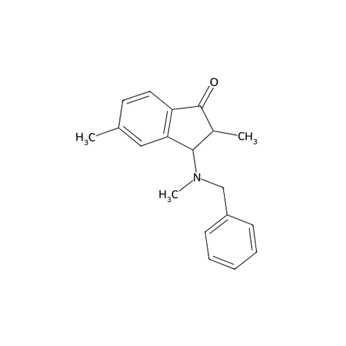 Cc1ccc2c(c1)C(N(C)Cc1ccccc1)C(C)C2=O